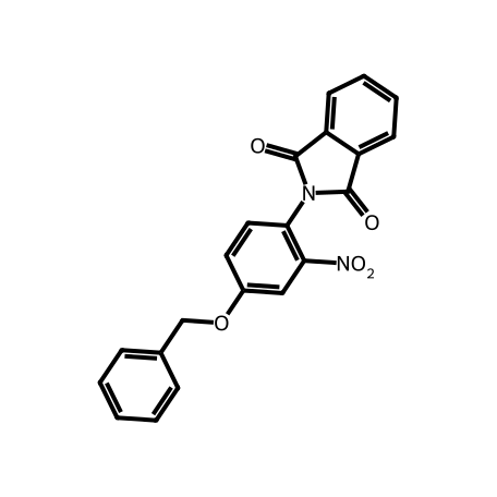 O=C1c2ccccc2C(=O)N1c1ccc(OCc2ccccc2)cc1[N+](=O)[O-]